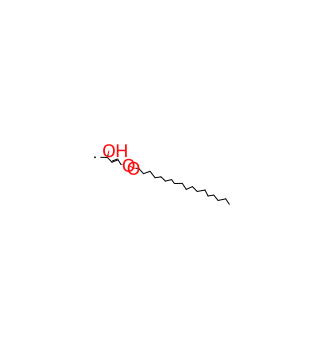 [CH2]C(O)C=CCOOCCCCCCCCCCCCCCCCCC